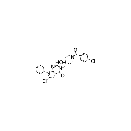 O=C(c1ccc(Cl)cc1)N1CCC(O)(Cn2cnc3c(cc(Cl)n3-c3ccccc3)c2=O)CC1